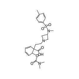 Cc1ccc(S(=O)(=O)N(C)C2CN(CCC3(C(=O)O)C=CC=CC3OC(=O)N(C)C)C2)cc1